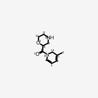 CC1=CC=CN(C(=O)C2CNCCO2)C1